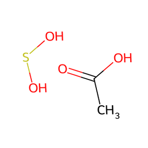 CC(=O)O.OSO